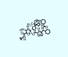 CCCC(NC(=O)[C@@H]1C[C@@]2(CN1C(=O)[C@@H](NC(=O)[C@@H](NC(=O)[C@@H]1CCCN(C(C)C)C1)C1CCCCC1)C(C)(C)C)C(C)(C)C21CCC1)C(=O)C(=O)NC1CC1